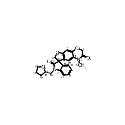 CN1C(=O)COc2cc3c(cc21)C1(CO3)C(=O)N(C[C@H]2CCCO2)c2ccccc21